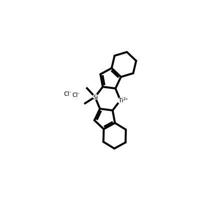 C[Si]1(C)C2=CC3=C(CCCC3)[CH]2[Ti+2][CH]2C1=CC1=C2CCCC1.[Cl-].[Cl-]